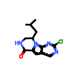 CC(C)CC1CNC(=O)c2cc3cnc(Cl)nc3n21